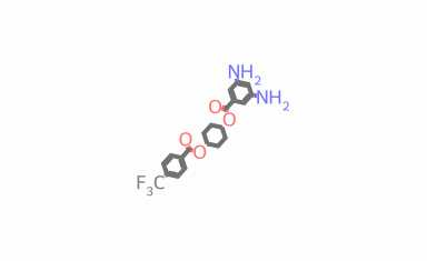 Nc1cc(N)cc(C(=O)OC2CCC(OC(=O)c3ccc(C(F)(F)F)cc3)CC2)c1